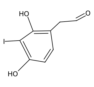 O=CCc1ccc(O)c(I)c1O